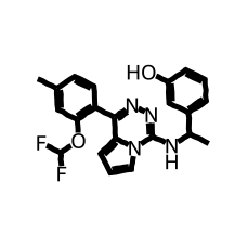 Cc1ccc(-c2nnc(NC(C)c3cccc(O)c3)n3cccc23)c(OC(F)F)c1